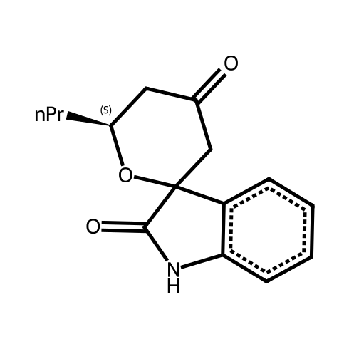 CCC[C@H]1CC(=O)CC2(O1)C(=O)Nc1ccccc12